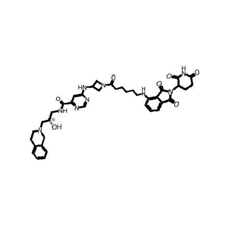 O=C1CCC(N2C(=O)c3cccc(NCCCCCC(=O)N4CC(Nc5cc(C(=O)NC[C@H](O)CN6CCc7ccccc7C6)ncn5)C4)c3C2=O)C(=O)N1